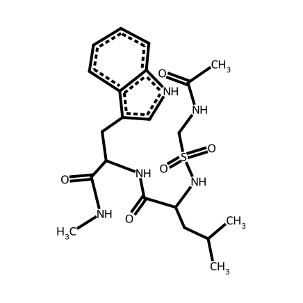 CNC(=O)C(Cc1c[nH]c2ccccc12)NC(=O)C(CC(C)C)NS(=O)(=O)CNC(C)=O